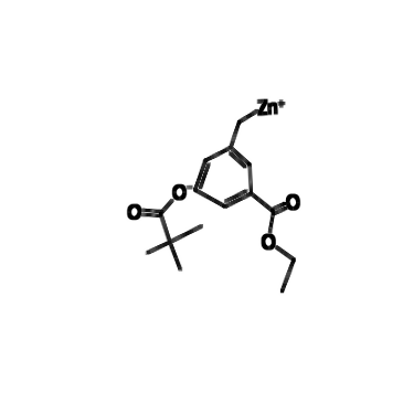 CC(C)(C)C(=O)[O-].CCOC(=O)c1cccc([CH2][Zn+])c1